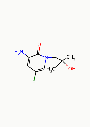 CC(C)(O)Cn1cc(F)cc(N)c1=O